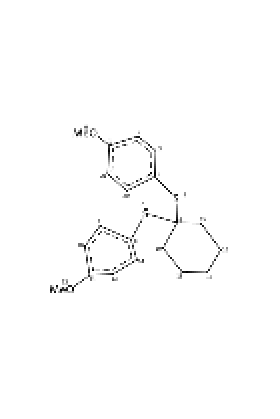 COc1ccc(SC2(Sc3ccc(OC)cc3)CCCCC2)cc1